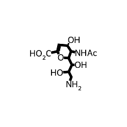 CC(=O)NC1C(C(O)C(O)CN)OC(C(=O)O)=C[C@H]1O